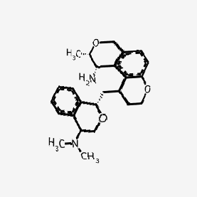 C[C@@H]1OCc2ccc3c(c2[C@@H]1N)C(C[C@@H]1OCC(N(C)C)c2ccccc21)CCO3